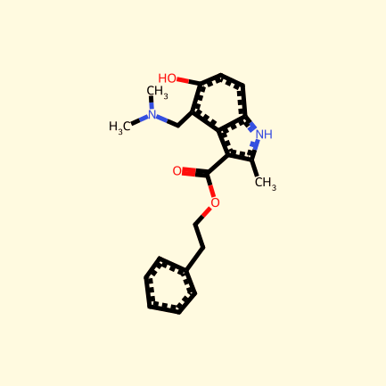 Cc1[nH]c2ccc(O)c(CN(C)C)c2c1C(=O)OCCc1ccccc1